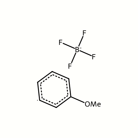 COc1c[c]ccc1.F[B-](F)(F)F